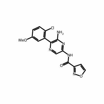 COc1ccc(Cl)c(-c2ncc(NC(=O)c3ccon3)nc2N)c1